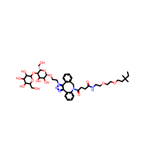 CCC(C)(C)CCOCCOCCNC(=O)CCC(=O)N1Cc2ccccc2-c2c(nnn2CCO[C@@H]2O[C@@H](CO)C(OC3OC(CO)C(O)C(O)C3O)C(O)C2O)-c2ccccc21